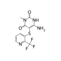 Cn1c(=O)[nH]c(N)c(Sc2cccnc2C(F)(F)F)c1=O